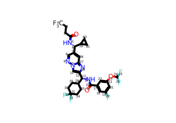 O=C(CCC(F)(F)F)N[C@@H](c1cnn2cc([C@@H](NC(=O)c3cc(F)cc(OC(F)F)c3)C3CCC(F)(F)CC3)nc2c1)C1CC1